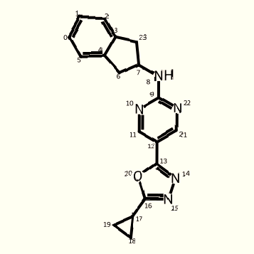 c1ccc2c(c1)CC(Nc1ncc(-c3nnc([C]4CC4)o3)cn1)C2